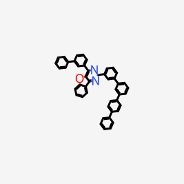 c1ccc(-c2ccc(-c3cccc(-c4cccc(-c5nc(-c6cccc(-c7ccccc7)c6)c6oc7ccccc7c6n5)c4)c3)cc2)cc1